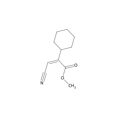 COC(=O)C(=CC#N)C1CCCCC1